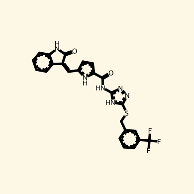 O=C1Nc2ccccc2/C1=C/c1ccc(C(=O)Nc2nnc(SCc3cccc(C(F)(F)F)c3)[nH]2)[nH]1